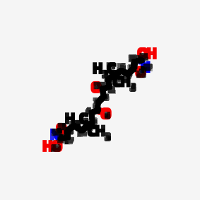 CC(C)(CCC(=O)CCC(=O)CCC(C)(C)CCc1cc(O)no1)CCc1cc(O)no1